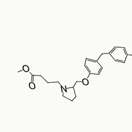 COC(=O)CCCN1CCCC1COc1ccc(Cc2ccc(Cl)cc2)cc1